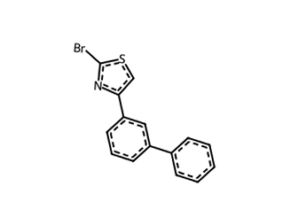 Brc1nc(-c2cccc(-c3ccccc3)c2)cs1